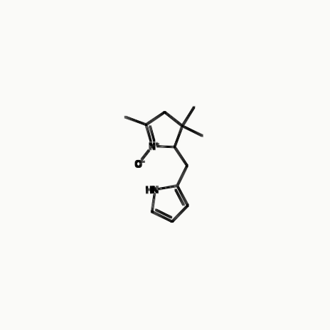 CC1=[N+]([O-])C(Cc2ccc[nH]2)C(C)(C)C1